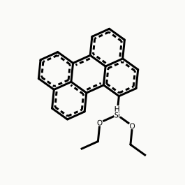 CCO[SiH](OCC)c1ccc2cccc3c4cccc5cccc(c1c23)c54